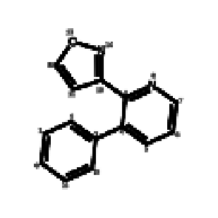 c1ccc(-c2cccnc2-c2ccon2)cc1